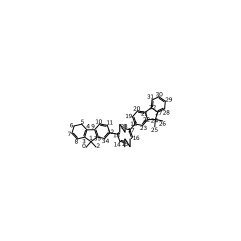 CC1(C)C2=C(CCC=C2)c2ccc(-c3cncc(-c4ccc5c(c4)C(C)(C)c4ccccc4-5)n3)cc21